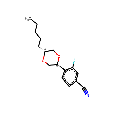 CCCCC[C@@H]1CO[C@@H](c2ccc(C#N)cc2F)CO1